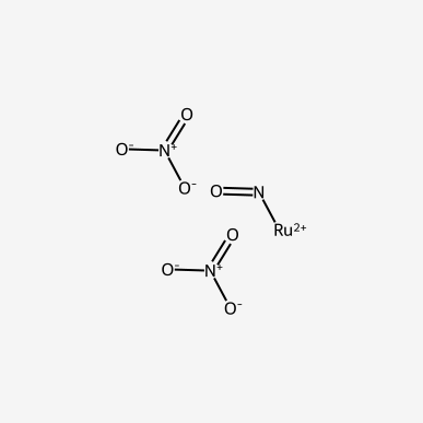 O=[N+]([O-])[O-].O=[N+]([O-])[O-].O=[N][Ru+2]